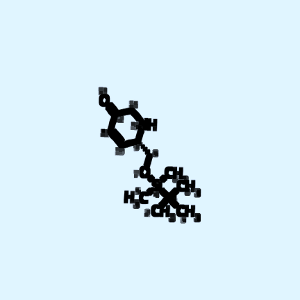 CC(C)(C)[Si](C)(C)OC[C@@H]1C=CC(=O)CN1